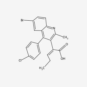 CC/C=C(\C(=O)O)c1c(C)nc2ccc(Br)cc2c1-c1ccc(Cl)cc1